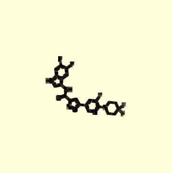 O=C(Nc1c[nH]c2cc(F)c(F)cc12)c1cc(-c2cnc(N3CCC(F)(F)CC3)c(F)c2)on1